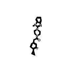 Cn1c(N2CCN(C(=O)Cc3ccc(C4CC4)c(F)c3)CC2)nc2ccccc21